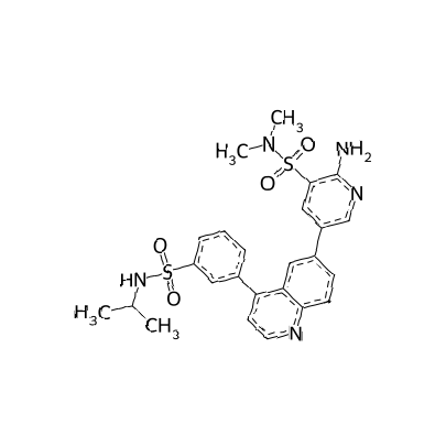 CC(C)NS(=O)(=O)c1cccc(-c2ccnc3ccc(-c4cnc(N)c(S(=O)(=O)N(C)C)c4)cc23)c1